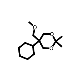 COCC1(C2CCCCC2)COC(C)(C)OC1